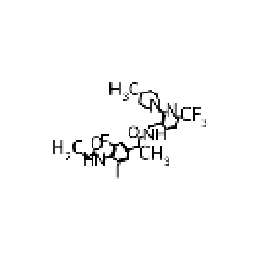 C=CC(=O)Nc1c(F)cc(C(C)C(=O)NCc2ccc(C(F)(F)F)nc2N2CCC(C)CC2)cc1I